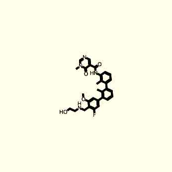 COc1cc(-c2cccc(-c3cccc(NC(=O)c4cncn(C)c4=O)c3C)c2C)cc(F)c1CNCCO